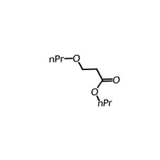 CCCOCCC(=O)OCCC